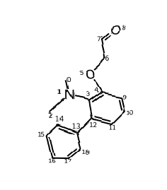 CN(C)c1c(OC[C]=O)cccc1-c1ccccc1